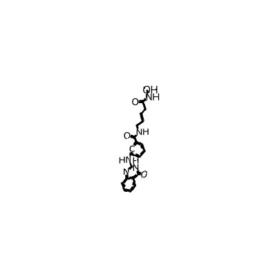 O=C(CCCCNC(=O)c1cccc(Nc2nc3ccccc3c(=O)[nH]2)c1)NO